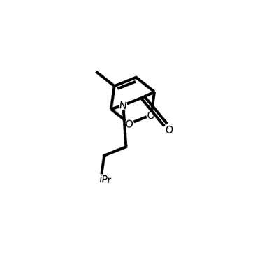 CC1=CC2OOC1N(CCC(C)C)C2=O